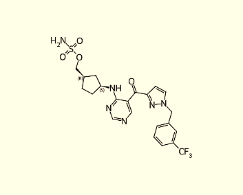 NS(=O)(=O)OC[C@@H]1CC[C@H](Nc2ncncc2C(=O)c2ccn(Cc3cccc(C(F)(F)F)c3)n2)C1